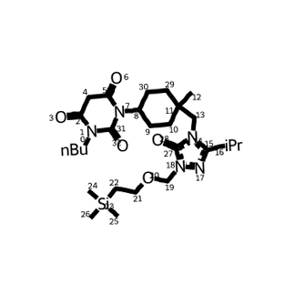 CCCCN1C(=O)CC(=O)N(C2CCC(C)(Cn3c(C(C)C)nn(COCC[Si](C)(C)C)c3=O)CC2)C1=O